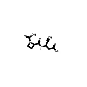 C#CC(CC(N)=O)NC(=O)C1CCN1C(=O)O